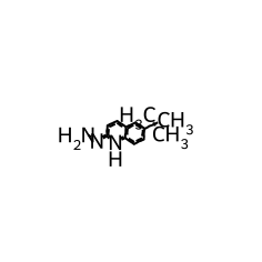 CC(C)(C)c1ccc2[nH]/c(=N/N)ccc2c1